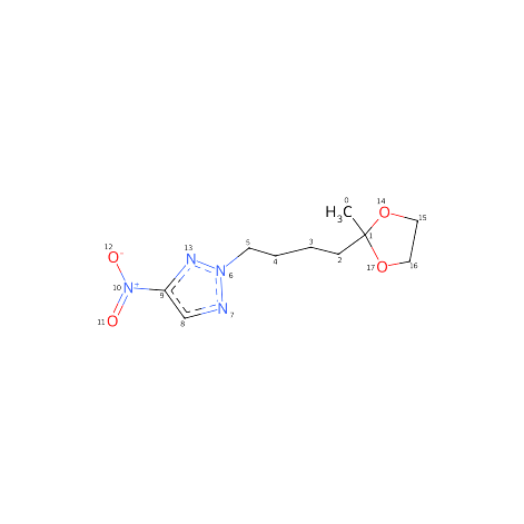 CC1(CCCCn2ncc([N+](=O)[O-])n2)OCCO1